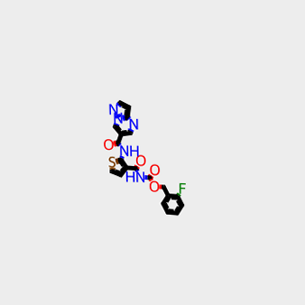 O=C(NC(=O)c1ccsc1NC(=O)c1cnc2ccnn2c1)OCc1ccccc1F